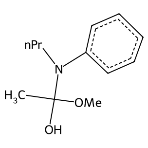 CCCN(c1ccccc1)C(C)(O)OC